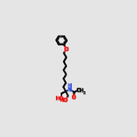 CC(=O)NC(CO)(CO)CCCCCCCCCOc1ccccc1